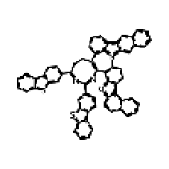 c1ccc2cc3c(cc2c1)c1cccc2c1n3-c1ccc3c(oc4ccc5ccccc5c43)c1C1=C2CC/C(c2ccc3c(c2)sc2ccccc23)=N\C(c2ccc3c(c2)sc2ccccc23)=N/1